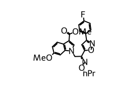 CCCO/N=C(\Cn1cc(C(=O)OC)c2ccc(OC)cc21)c1cc(-c2ccc(F)cc2)no1